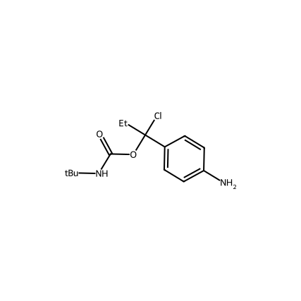 CCC(Cl)(OC(=O)NC(C)(C)C)c1ccc(N)cc1